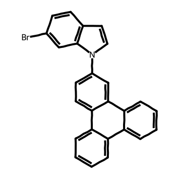 Brc1ccc2ccn(-c3ccc4c5ccccc5c5ccccc5c4c3)c2c1